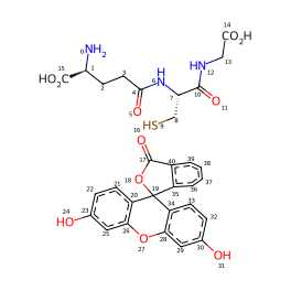 N[C@@H](CCC(=O)N[C@@H](CS)C(=O)NCC(=O)O)C(=O)O.O=C1OC2(c3ccc(O)cc3Oc3cc(O)ccc32)c2ccccc21